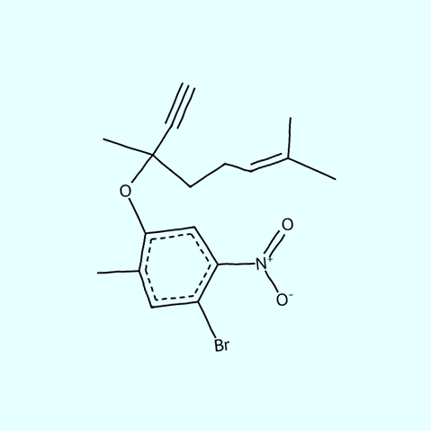 C#CC(C)(CCC=C(C)C)Oc1cc([N+](=O)[O-])c(Br)cc1C